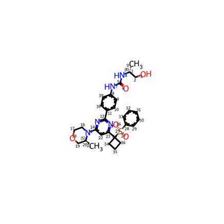 C[C@H](CO)NC(=O)Nc1ccc(-c2nc(N3CCOC[C@@H]3C)cc(C3(S(=O)(=O)c4ccccc4)CCC3)n2)cc1